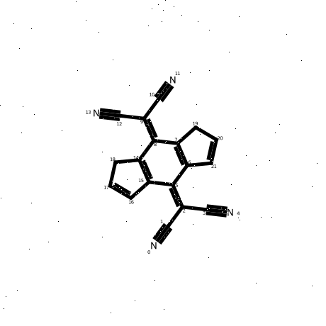 N#CC(C#N)=c1c2c(c(=C(C#N)C#N)c3c1C=CC3)CC=C2